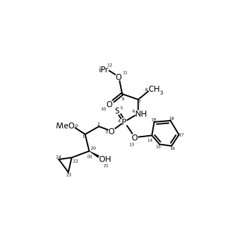 COC(COP(=S)(NC(C)C(=O)OC(C)C)Oc1ccccc1)[C@@H](O)C1CC1